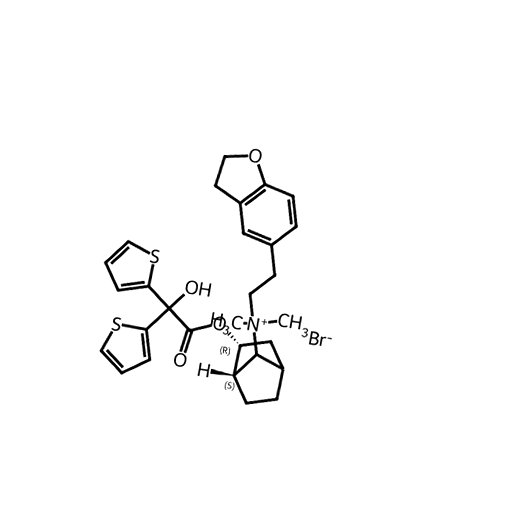 C[N+](C)(CCc1ccc2c(c1)CCO2)C1C2CC[C@@H]1[C@H](OC(=O)C(O)(c1cccs1)c1cccs1)C2.[Br-]